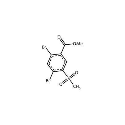 COC(=O)c1cc(S(C)(=O)=O)c(Br)cc1Br